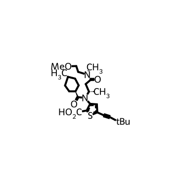 COCCN(C)C(=O)C[C@H](C)N(c1cc(C#CC(C)(C)C)sc1C(=O)O)C(=O)[C@H]1CC[C@H](C)CC1